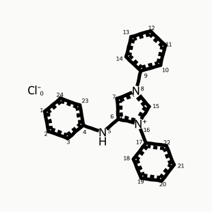 [Cl-].c1ccc(Nc2cn(-c3ccccc3)c[n+]2-c2ccccc2)cc1